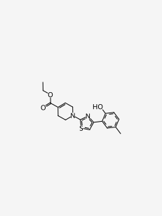 CCOC(=O)C1=CCN(c2nc(-c3cc(C)ccc3O)cs2)CC1